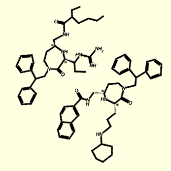 CCCCC(CC)C(=O)NC[C@@H]1CCN(CC(c2ccccc2)c2ccccc2)C(=O)[C@H](C(CC)NC(=N)N)N1.O=C(NC[C@@H]1CCN(CC(c2ccccc2)c2ccccc2)C(=O)[C@H](CCCNC2CCCCC2)N1)c1ccc2ccccc2c1